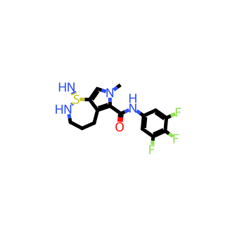 Cn1cc2c(c1C(=O)Nc1cc(F)c(F)c(F)c1)CCCNS2=N